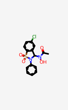 CC(=O)N(O)C1c2cc(Cl)ccc2S(=O)(=O)N1c1ccccc1